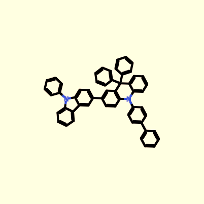 c1ccc(-c2ccc(N3c4ccccc4C(c4ccccc4)(c4ccccc4)c4cc(-c5ccc6c(c5)c5ccccc5n6-c5ccccc5)ccc43)cc2)cc1